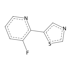 Fc1cccnc1-c1cncs1